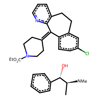 CCOC(=O)N1CCC(=C2c3ccc(Cl)cc3CCc3cccnc32)CC1.CN[C@@H](C)[C@@H](O)c1ccccc1